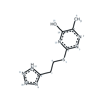 Cc1nnc(SCCc2nnn[nH]2)nc1O